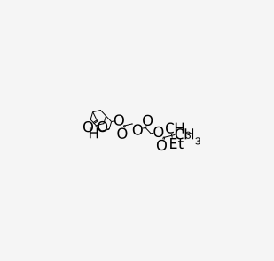 CCC(C)(C)C(=O)OCC(=O)OCC(=O)OC1C2CC3C[C@@H](C2)CC1OC3=O